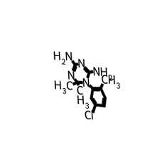 Cc1ccc(Cl)cc1N1C(N)=NC(N)=NC1(C)C